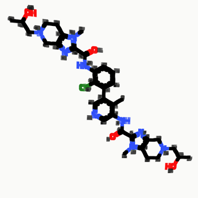 Cc1c(NC(=O)c2nc3c(n2C)CCN(CC(C)O)C3)cncc1-c1cccc(NC(=O)c2nc3c(n2C)CCN(CC(C)O)C3)c1Cl